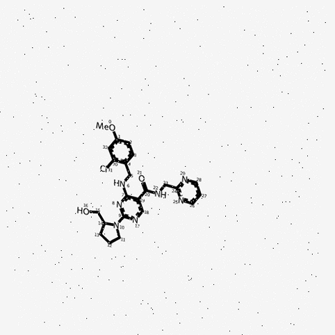 COc1ccc(CNc2nc(N3CCCC3CO)ncc2C(=O)NCc2ncccn2)c(Cl)c1